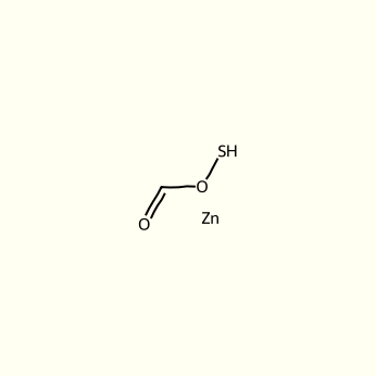 O=COS.[Zn]